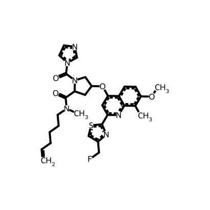 C=CCCCCN(C)C(=O)C1CC(Oc2cc(-c3nc(CF)cs3)nc3c(C)c(OC)ccc23)CN1C(=O)n1ccnc1